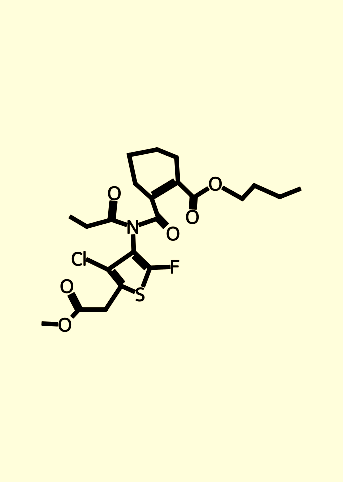 CCCCOC(=O)C1=C(C(=O)N(C(=O)CC)c2c(F)sc(CC(=O)OC)c2Cl)CCCC1